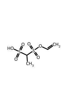 C=COS(=O)(=O)C(C)S(=O)(=O)O